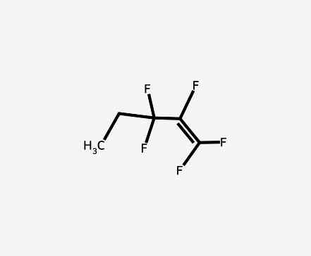 CCC(F)(F)C(F)=C(F)F